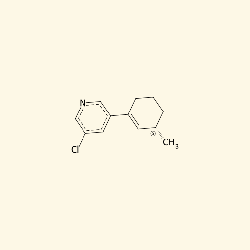 C[C@@H]1C=C(c2cncc(Cl)c2)CCC1